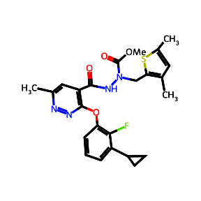 COC(=O)N(Cc1sc(C)cc1C)NC(=O)c1cc(C)nnc1Oc1cccc(C2CC2)c1F